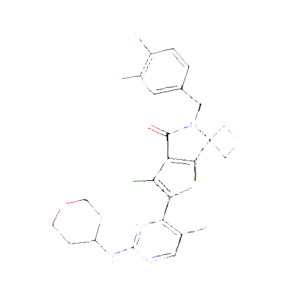 Cc1cnc(NC2CCOCC2)nc1-c1sc2c(c1F)C(=O)N(Cc1ccc(F)c(F)c1)C21COC1